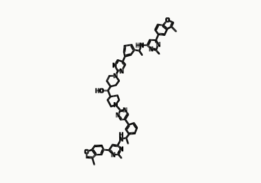 Cc1nc(NC(C)c2cccc(-c3cnc(N4CCC(C(O)C5CCN(c6ncc(-c7cccc(C(C)Nc8cc(-c9ccc%10occ(C)c%10c9)nc(C)n8)c7)cn6)CC5)CC4)nc3)c2)cc(-c2ccc3occ(C)c3c2)n1